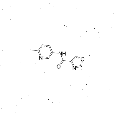 Cc1ccc(NC(=O)c2cocn2)cn1